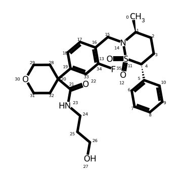 C[C@H]1CC[C@H](c2ccccc2)S(=O)(=O)N1Cc1ccc(C2(C(=O)NCCCO)CCOCC2)cc1F